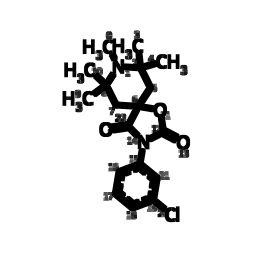 CN1C(C)(C)CC2(CC1(C)C)OC(=O)N(c1cccc(Cl)c1)C2=O